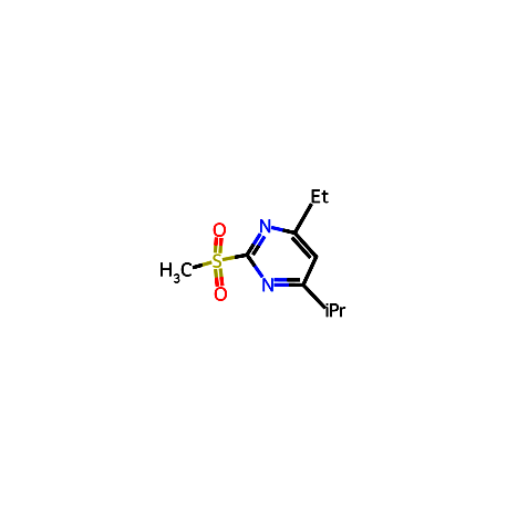 CCc1cc(C(C)C)nc(S(C)(=O)=O)n1